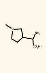 CN1CCC(C(N)C(=O)O)C1